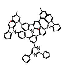 Cc1cc(C)cc(-c2ccc3c(c2)c2cc(-c4cc(C)cc(C)c4)ccc2n3-c2c(-c3ccc(-n4c5ccccc5c5ccccc54)cc3)cc(-c3cc(-c4ccccc4)nc(-c4ccccc4)n3)cc2-c2ccc(-n3c4ccccc4c4ccccc43)cc2)c1